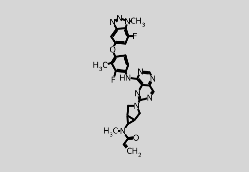 C=CC(=O)N(C)C1C2CN(c3ncc4ncnc(Nc5ccc(Oc6cc(F)c7c(c6)nnn7C)c(C)c5F)c4n3)CC21